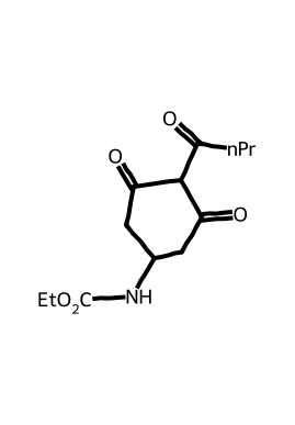 CCCC(=O)C1C(=O)CC(NC(=O)OCC)CC1=O